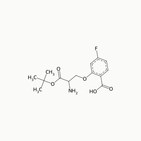 CC(C)(C)OC(=O)C(N)COc1cc(F)ccc1C(=O)O